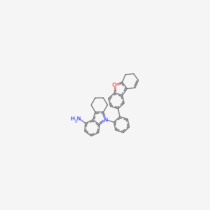 Nc1cccc2c1c1c(n2-c2ccccc2-c2ccc3oc4c(c3c2)C=CCC4)CCCC1